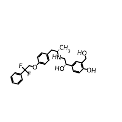 C[C@@H](Cc1ccc(OCC(F)(F)c2ccccc2)cc1)NC[C@@H](O)c1ccc(O)c(CO)c1